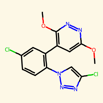 COc1cc(-c2cc(Cl)ccc2-n2cc(Cl)nn2)c(OC)nn1